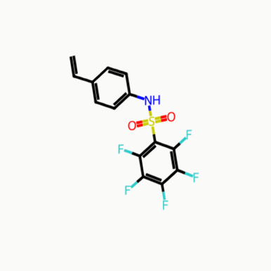 C=Cc1ccc(NS(=O)(=O)c2c(F)c(F)c(F)c(F)c2F)cc1